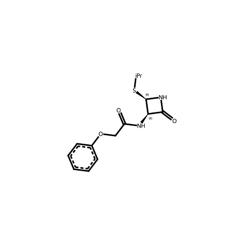 CC(C)S[C@H]1NC(=O)[C@H]1NC(=O)COc1ccccc1